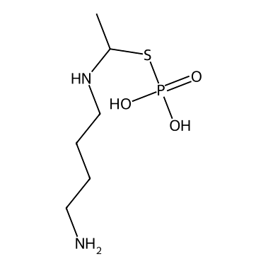 CC(NCCCCN)SP(=O)(O)O